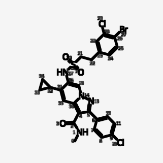 CNC(=O)c1c(-c2ccc(Cl)cc2)nn2cc(NS(=O)(=O)CCc3ccc(Br)c(Cl)c3)c(C3CC3)cc12